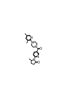 Cc1cnc(N2CCN(C(=O)c3ccc(N4C(=O)CCC4C)nc3)CC2)c(C)c1